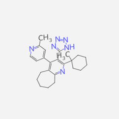 Cc1cc(-c2c3c(nc(C4(C)CCCCC4)c2-c2nnn[nH]2)CCCCC3)ccn1